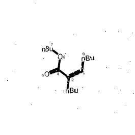 CCCCC=C(CCCC)C(=O)OCCCC